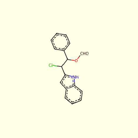 O=COC(c1ccccc1)C(Cl)c1cc2ccccc2[nH]1